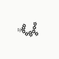 CC1(C)c2ccc(-c3cccc(-c4ccc(-c5nc(-c6ccccc6)cc(-c6ccc(-c7cccnc7)cc6)n5)c5ccccc45)c3)cc2-c2cc3ccccc3cc21